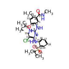 CNC(=O)c1cc(Nc2ncc(Cl)c(Nc3ccccc3S(=O)(=O)C(C)C)n2)c(OC(C)C)cc1C